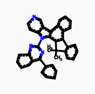 CC1(C)c2ccccc2-c2c1c1c(c3ccccc23)c2cnccc2n1-c1nc(-c2ccccc2)c2ccccc2n1